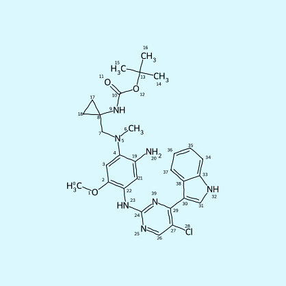 COc1cc(N(C)CC2(NC(=O)OC(C)(C)C)CC2)c(N)cc1Nc1ncc(Cl)c(-c2c[nH]c3ccccc23)n1